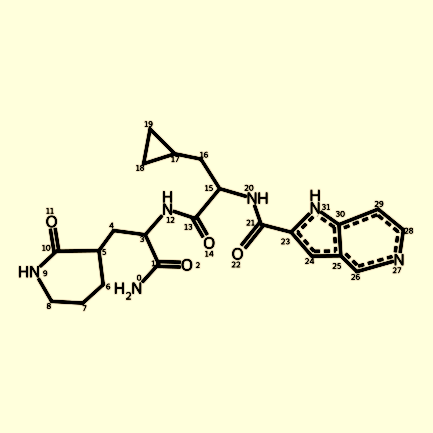 NC(=O)C(CC1CCCNC1=O)NC(=O)C(CC1CC1)NC(=O)c1cc2cnccc2[nH]1